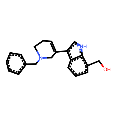 OCc1cccc2c(C3=CCCN(Cc4ccccc4)C3)c[nH]c12